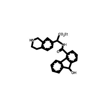 CCOC(=O)C(NC(=O)c1cccc2c1-c1ccccc1C2O)c1ccc2c(c1)CNCC2